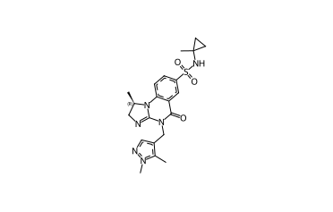 Cc1c(CN2C(=O)c3cc(S(=O)(=O)NC4(C)CC4)ccc3N3C2=NC[C@H]3C)cnn1C